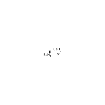 [BaH2].[CaH2].[Ti].[Zr]